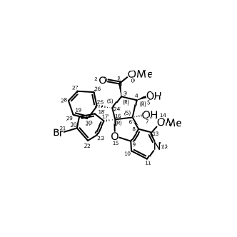 COC(=O)[C@H]1[C@@H](O)[C@@]2(O)c3c(ccnc3OC)O[C@@]2(c2ccc(Br)cc2)[C@@H]1c1ccccc1